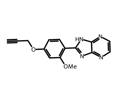 C#CCOc1ccc(-c2nc3nccnc3[nH]2)c(OC)c1